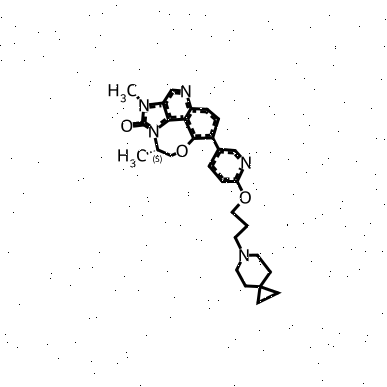 C[C@H]1COc2c(-c3ccc(OCCCN4CCC5(CC4)CC5)nc3)ccc3ncc4c(c23)n1c(=O)n4C